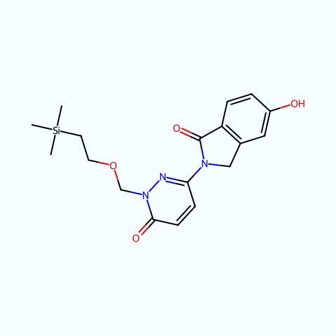 C[Si](C)(C)CCOCn1nc(N2Cc3cc(O)ccc3C2=O)ccc1=O